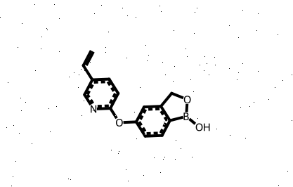 C=Cc1ccc(Oc2ccc3c(c2)COB3O)nc1